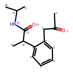 CC(=O)Cc1ccccc1C(C)C(=O)NC(C)C